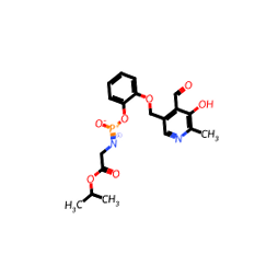 Cc1ncc(COc2ccccc2O/[P+]([O-])=N/CC(=O)OC(C)C)c(C=O)c1O